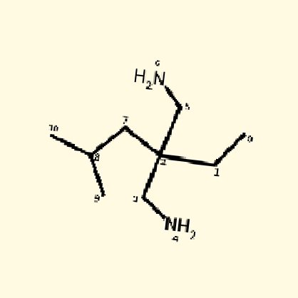 CCC(CN)(CN)CC(C)C